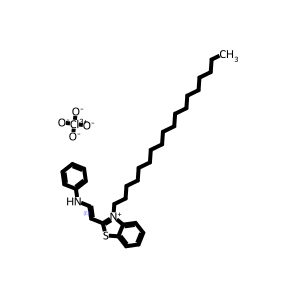 CCCCCCCCCCCCCCCCCC[n+]1c(/C=C/Nc2ccccc2)sc2ccccc21.[O-][Cl+3]([O-])([O-])[O-]